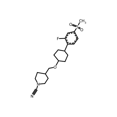 CS(=O)(=O)c1ccc(C2CCC(OCC3CCN(C#N)CC3)CC2)c(F)c1